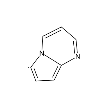 [c]1ccc2ncccn12